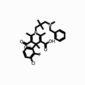 CC1=C(C(=O)O)C(C)(c2cccc(Cl)c2F)C(C(=O)O)=C(C)N1CC(C)(C)CN(C)Cc1ccccc1